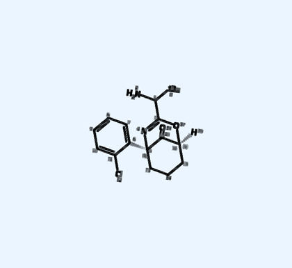 CC(C)(C)C(N)C1=N[C@]2(c3ccccc3Cl)CCC[C@H](O1)C2=O